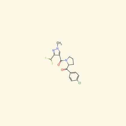 Cn1cc(C(=O)N2CCCC2C(=O)c2ccc(Cl)cc2)c(C(F)F)n1